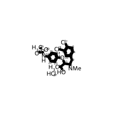 CNC(Cc1ccc(Cl)c(Cl)c1)C(Oc1ccc(NS(C)(=O)=O)cc1)C(C)O.Cl